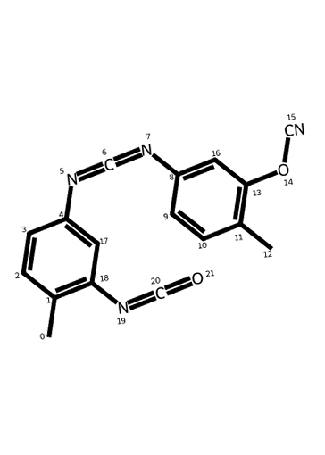 Cc1ccc(N=C=Nc2ccc(C)c(OC#N)c2)cc1N=C=O